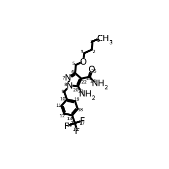 CCCCOCc1nn(Cc2ccc(C(F)(F)F)cc2)c(N)c1C(N)=O